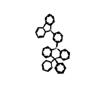 C1=CCC(C2(c3ccccc3)c3ccccc3N(c3cccc(N4c5ccccc5C5C=CC=CC54)c3)c3ccccc32)C=C1